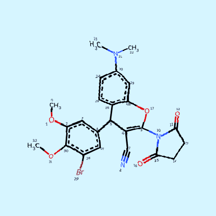 COc1cc(C2C(C#N)=C(N3C(=O)CCC3=O)Oc3cc(N(C)C)ccc32)cc(Br)c1OC